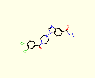 NC(=O)c1ccc2c(c1)ncn2N1CCN(C(=O)c2ccc(Cl)c(Cl)c2)CC1